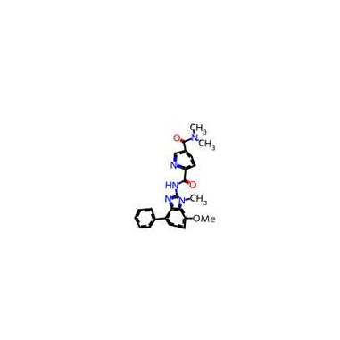 COc1ccc(-c2ccccc2)c2nc(NC(=O)c3ccc(C(=O)N(C)C)cn3)n(C)c12